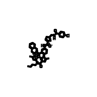 CCCCN(CCCC)C(=O)c1cc(C)n(-c2ccc(N[S+]([O-])c3ccc(CNC(=O)c4ccc(Cl)cc4)s3)cc2C(=O)N2Cc3ccccc3C[C@H]2CO)n1